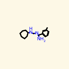 Cc1cccc(/C(N)=N/CNC2CCCCCC2)c1